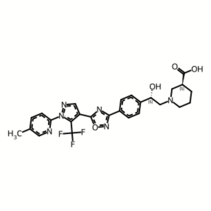 Cc1ccc(-n2ncc(-c3nc(-c4ccc([C@H](O)CN5CCC[C@H](C(=O)O)C5)cc4)no3)c2C(F)(F)F)nc1